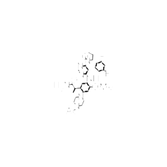 C=C(C(N)=O)c1cc(Nc2cc(N3OCC[C@@H]3c3ccc(F)cc3F)ncn2)c(OC)cc1N1CCN(C(C)=O)CC1